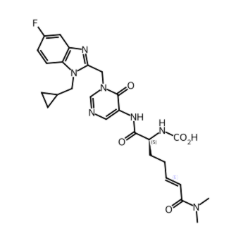 CN(C)C(=O)/C=C/CC[C@H](NC(=O)O)C(=O)Nc1cncn(Cc2nc3cc(F)ccc3n2CC2CC2)c1=O